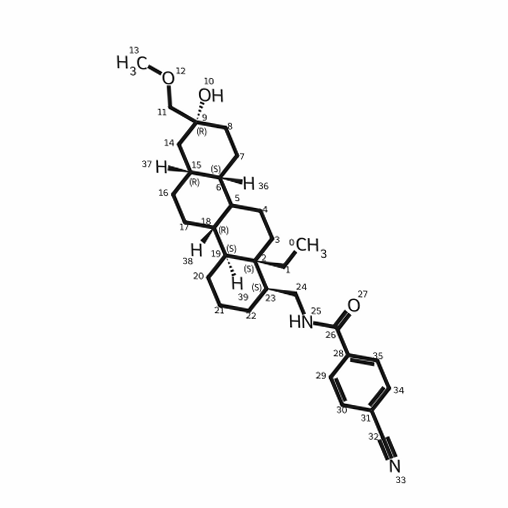 CC[C@]12CCC3[C@H]4CC[C@](O)(COC)C[C@H]4CC[C@H]3[C@@H]1CCC[C@@H]2CNC(=O)c1ccc(C#N)cc1